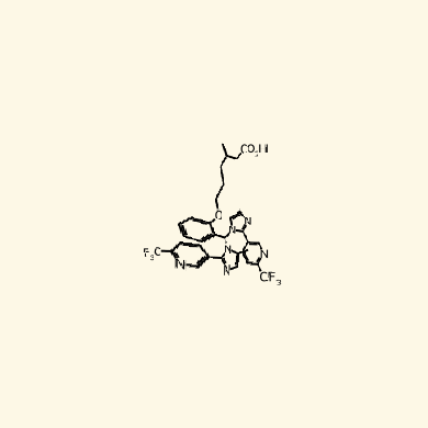 Cc1cnc(-c2ccc(C(F)(F)F)nc2)n1[C@H](c1ccccc1OCCCC(C)CC(=O)O)n1ccnc1-c1ccc(C(F)(F)F)nc1